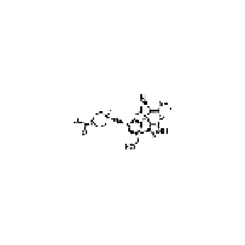 COC(=O)N1CCC(C)(C#Cc2cc(CO)cc(C3(C(C)C)C(C#N)=C(N)Oc4[nH]nc(C)c43)c2)CC1